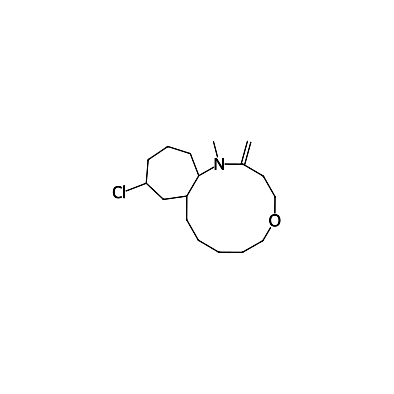 C=C1CCOCCCCCC2CC(Cl)CCCC2N1C